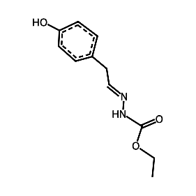 CCOC(=O)NN=CCc1ccc(O)cc1